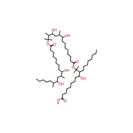 CCCCCCCCC(C(O)CCCCCCCC(=O)OC)C(C)(C)OC(=O)CCCCCCCC(O)C(C)CC(O)C(C)C(C)(C)OC(=O)CCCCCCCC(O)C(C)CC(O)C(C)CCCCC